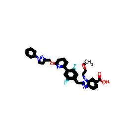 COCCn1c(Cc2cc(F)c(-c3cccc(OCc4ccn(-c5ccccc5)n4)n3)cc2F)nc2ccc(C(=O)O)cc21